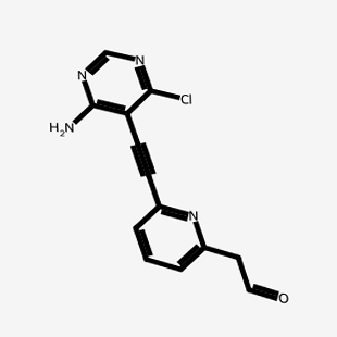 Nc1ncnc(Cl)c1C#Cc1cccc(CC=O)n1